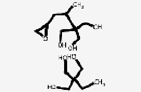 CC(CC1CO1)C(CO)(CO)CO.CCC(CO)(CO)CO